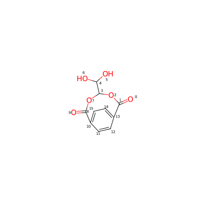 O=C1OC(C(O)O)OC(=O)c2ccc1cc2